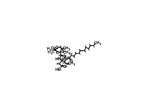 CCCCCCCCCCCC(=O)NC(CC)C(CC(=O)O)NC(=O)C1OC(C)(C)OCC1(C)C